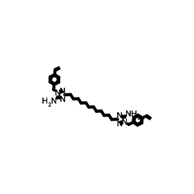 C=Cc1ccc(Cn2nc(CCCCCCCCCCCCc3nc(N)n(Cc4ccc(C=C)cc4)n3)nc2N)cc1